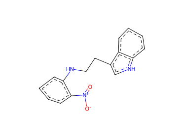 O=[N+]([O-])c1ccccc1NCCc1c[nH]c2ccccc12